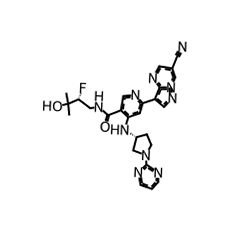 CC(C)(O)[C@H](F)CNC(=O)c1cnc(-c2cnn3cc(C#N)cnc23)cc1N[C@@H]1CCN(c2ncccn2)C1